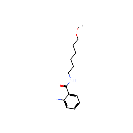 CCOCCCCCCNC(=O)c1ccccc1N